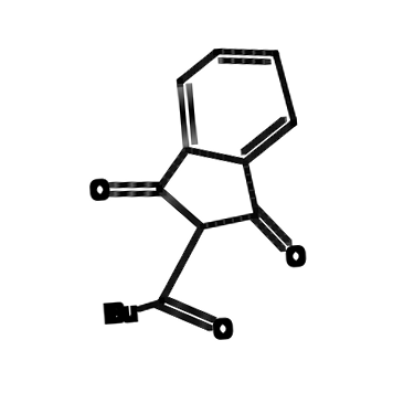 CCC(C)C(=O)C1C(=O)c2ccccc2C1=O